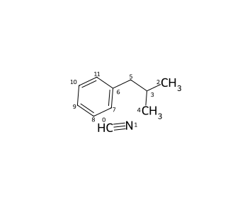 C#N.CC(C)Cc1ccccc1